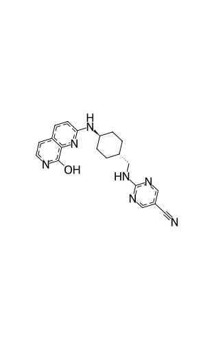 N#Cc1cnc(NC[C@H]2CC[C@H](Nc3ccc4ccnc(O)c4n3)CC2)nc1